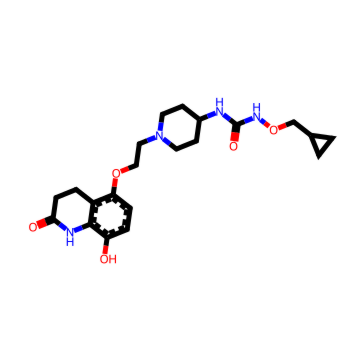 O=C1CCc2c(OCCN3CCC(NC(=O)NOCC4CC4)CC3)ccc(O)c2N1